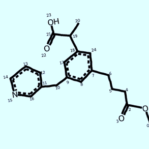 COC(=O)CCCc1cc(Cc2cccnc2)cc(C(C)C(=O)O)c1